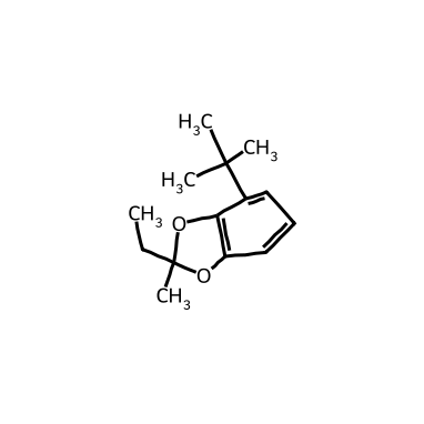 CCC1(C)Oc2cccc(C(C)(C)C)c2O1